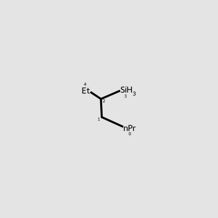 CCCCC([SiH3])CC